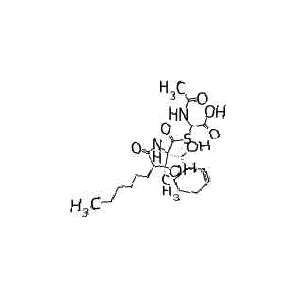 CCCCCC[C@H]1C(=O)N[C@](C(=O)SC(NC(C)=O)C(=O)O)(C(O)[C@@H]2C=CCCC2)[C@@]1(C)O